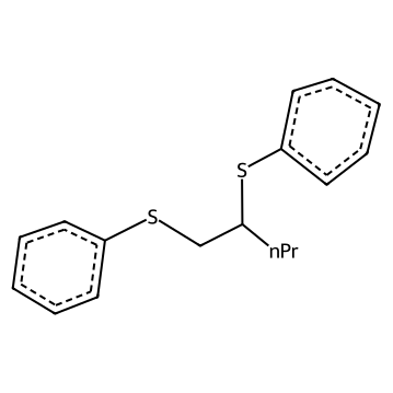 CCCC(CSc1ccccc1)Sc1ccccc1